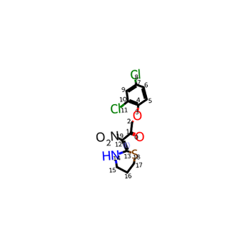 O=C(COc1ccc(Cl)cc1Cl)/C(=C1/NCCCS1)[N+](=O)[O-]